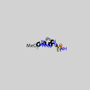 CC[C@@H](C1CN(c2ncc(C(C)C)c3cc(Nc4ccnc(N5CC[C@@H](OC)[C@@H](F)C5)n4)ncc23)C1)[SH](=N)=O